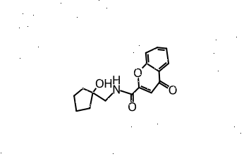 O=C(NCC1(O)CCCC1)c1cc(=O)c2ccccc2o1